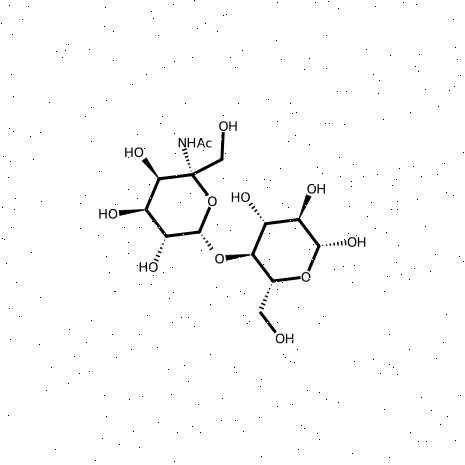 CC(=O)N[C@]1(CO)O[C@H](O[C@H]2[C@H](O)[C@@H](O)[C@H](O)O[C@@H]2CO)[C@H](O)[C@@H](O)[C@H]1O